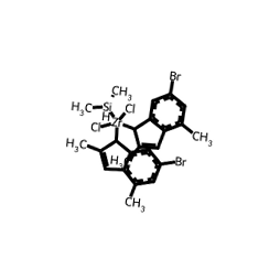 CC1=Cc2c(C)cc(Br)cc2[CH]1[Zr]([Cl])([Cl])([CH]1C(C)=Cc2c(C)cc(Br)cc21)[SiH](C)C